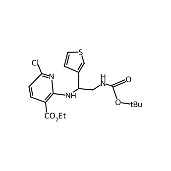 CCOC(=O)c1ccc(Cl)nc1NC(CNC(=O)OC(C)(C)C)c1ccsc1